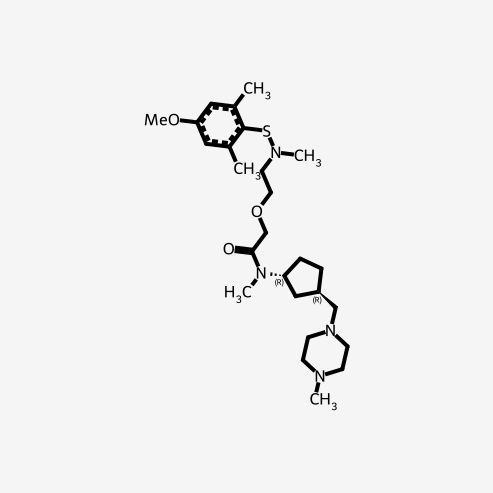 COc1cc(C)c(SN(C)CCOCC(=O)N(C)[C@@H]2CC[C@@H](CN3CCN(C)CC3)C2)c(C)c1